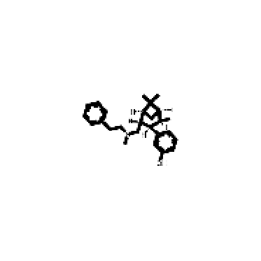 C[C@H]1[C@@H](c2cccc(O)c2)[C@H](CN(C)CCc2ccccc2)[C@@H]2C[C@H]1C2(C)C